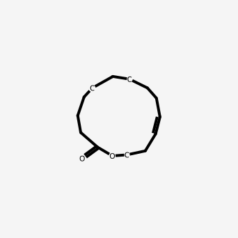 O=C1CCCCCCCCC=CCCO1